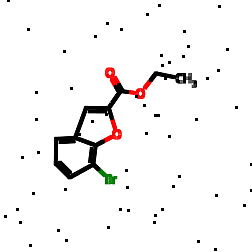 CCOC(=O)c1cc2cccc(Br)c2o1